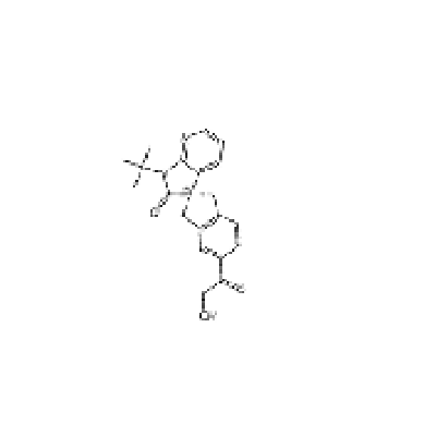 CC(C)(C)N1C(=O)[C@@]2(Cc3ccc(C(=O)CO)cc3C2)c2cccnc21